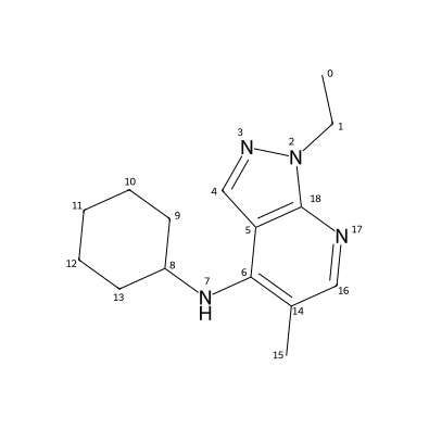 CCn1ncc2c(NC3CCCCC3)c(C)cnc21